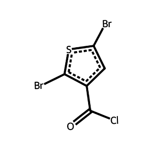 O=C(Cl)c1cc(Br)sc1Br